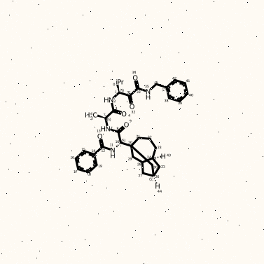 CC(C)[C@H](NC(=O)[C@H](C)NC(=O)[C@@H](NC(=O)c1ccccc1)C12CCC[C@H]3C[C@@H](CC3C1)C2)C(=O)C(=O)NCc1ccccc1